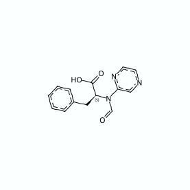 O=CN(c1cnccn1)[C@@H](Cc1ccccc1)C(=O)O